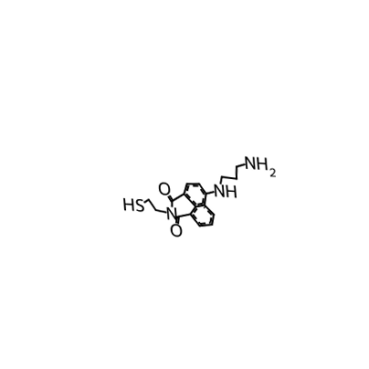 NCCCNc1ccc2c3c(cccc13)C(=O)N(CCS)C2=O